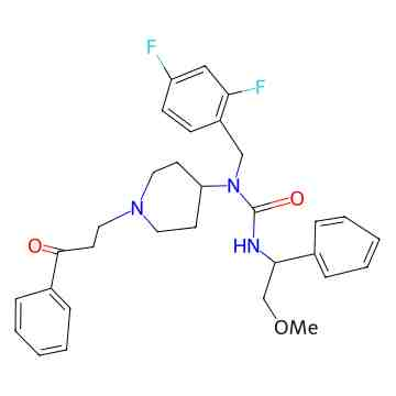 COCC(NC(=O)N(Cc1ccc(F)cc1F)C1CCN(CCC(=O)c2ccccc2)CC1)c1ccccc1